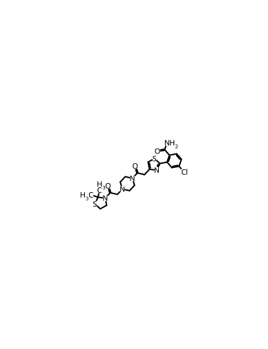 CC1(C)SCCN1C(=O)CN1CCN(C(=O)Cc2csc(-c3cc(Cl)ccc3C(N)=O)n2)CC1